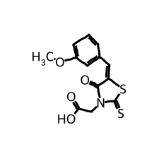 COc1cccc(C=C2SC(=S)N(CC(=O)O)C2=O)c1